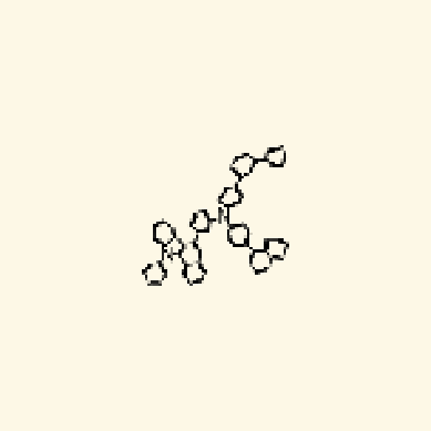 c1ccc(-c2cccc(-c3ccc(N(c4ccc(-c5cccc6ccccc56)cc4)c4cccc(-c5cc6ccccc6c6c5c5ccccc5n6-c5ccccc5)c4)cc3)c2)cc1